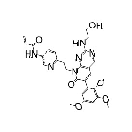 C=CC(=O)Nc1ccc(CCn2c(=O)c(-c3cc(OC)cc(OC)c3Cl)cc3cnc(NCCO)nc32)nc1